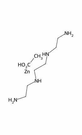 CC(=O)O.NCCNCCNCCN.[Zn]